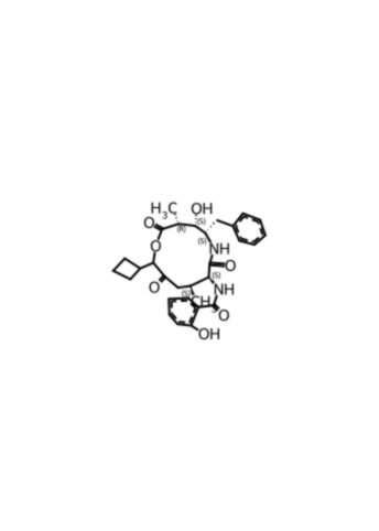 C[C@H]1CC(=O)C(C2CCC2)OC(=O)[C@H](C)[C@H](O)[C@H](Cc2ccccc2)NC(=O)[C@H]1NC(=O)c1ccccc1O